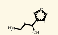 NCC[C@H](O)c1ccsc1